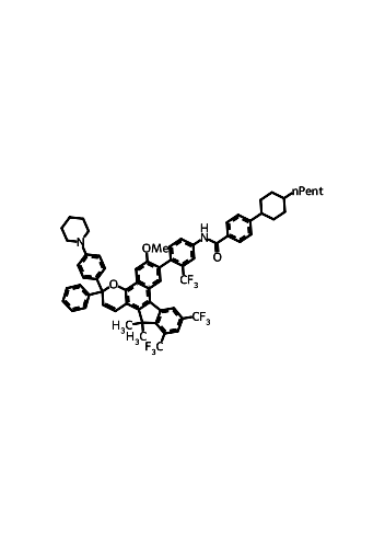 CCCCCC1CCC(c2ccc(C(=O)Nc3ccc(-c4cc5c6c(c7c(c5cc4OC)OC(c4ccccc4)(c4ccc(N5CCCCC5)cc4)C=C7)C(C)(C)c4c-6cc(C(F)(F)F)cc4C(F)(F)F)c(C(F)(F)F)c3)cc2)CC1